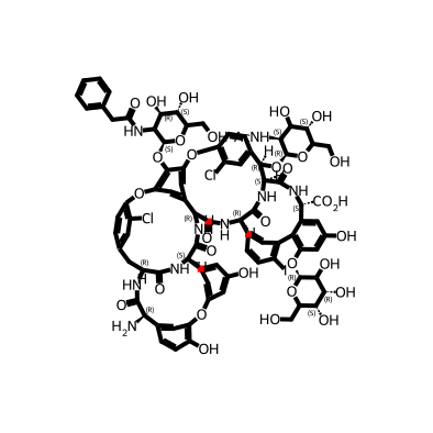 CC(=O)N[C@H]1C(O)[C@H](O)C(CO)O[C@H]1O[C@@H]1c2ccc(c(Cl)c2)Oc2cc3cc(c2O[C@@H]2OC(CO)[C@@H](O)[C@H](O)C2NC(=O)Cc2ccccc2)Oc2ccc(cc2Cl)C[C@H]2NC(=O)[C@H](N)c4ccc(O)c(c4)Oc4cc(O)cc(c4)[C@H](NC2=O)C(=O)N[C@H]3C(=O)N[C@H]2C(=O)N[C@@H]1C(=O)N[C@H](C(=O)O)c1cc(O)cc(O[C@H]3OC(CO)[C@@H](O)[C@@H](O)C3O)c1-c1cc2ccc1I